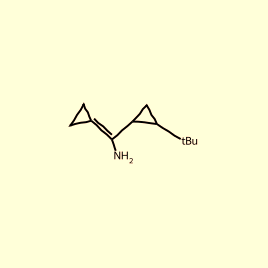 CC(C)(C)C1CC1C(N)=C1CC1